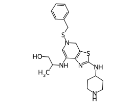 CC(CO)NC1=CN(SCc2ccccc2)Cc2sc(NC3CCNCC3)nc21